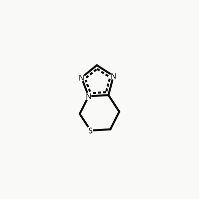 c1nc2n(n1)CSCC2